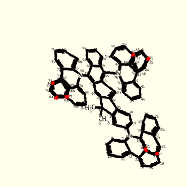 CC1(C)c2cc(N(c3ccccc3-c3ccccc3)c3cccc4ccccc34)ccc2-c2cc3c(N(c4ccccc4-c4ccccc4)c4cccc5ccccc45)c4ccccc4c(N(c4ccccc4-c4ccccc4)c4cccc5ccccc45)c3cc21